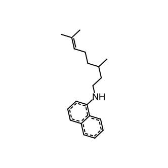 CC(C)=CCCC(C)CCNc1cccc2ccccc12